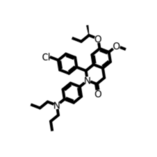 CCCN(CCC)c1ccc(N2C(=O)Cc3cc(OC)c(O[C@H](C)CC)cc3C2c2ccc(Cl)cc2)cc1